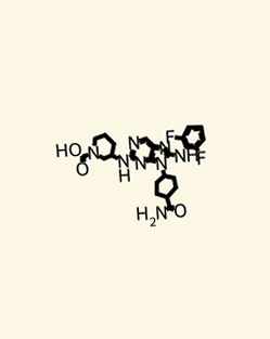 NC(=O)C1CCC(n2c(Nc3c(F)cccc3F)nc3cnc(NC4CCCN(C(=O)O)C4)nc32)CC1